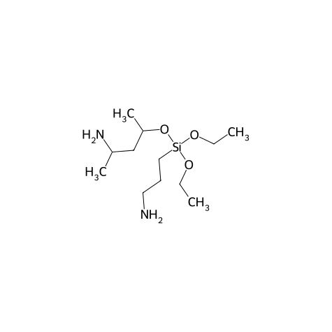 CCO[Si](CCCN)(OCC)OC(C)CC(C)N